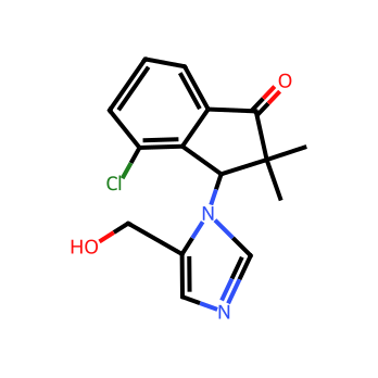 CC1(C)C(=O)c2cccc(Cl)c2C1n1cncc1CO